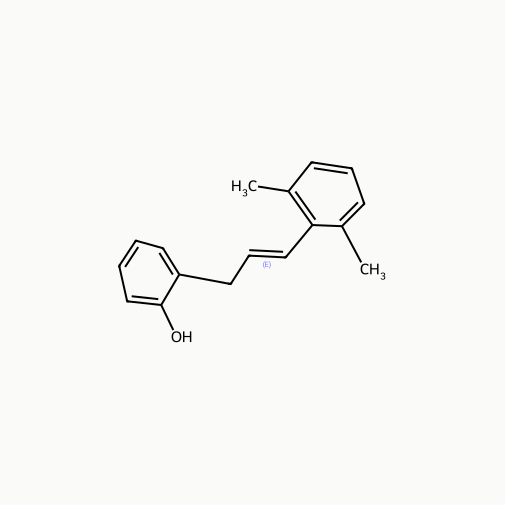 Cc1cccc(C)c1/C=C/Cc1ccccc1O